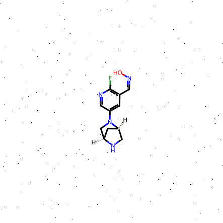 O/N=C\c1cc(N2C[C@H]3C[C@@H]2CN3)cnc1F